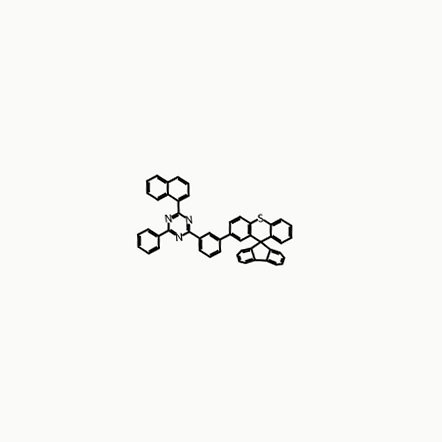 c1ccc(-c2nc(-c3cccc(-c4ccc5c(c4)C4(c6ccccc6S5)c5ccccc5-c5ccccc54)c3)nc(-c3cccc4ccccc34)n2)cc1